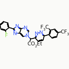 CCOC(=O)C(c1ccc(-c2ccc(C(F)(F)F)cc2C(F)(F)F)nn1)n1cnc2nc(-c3ccccc3F)nc-2c1